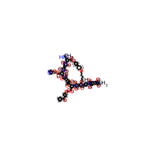 CCCCCCOC1CCC(c2ccc(OCC(=O)c3cc(NC)cc(N4C(=O)C5C(C4=O)C4C(=O)N(c6cc(C(=O)OCOc7ccncc7)cc(N7C(=O)C8CC(C7=O)C7C9CC(C(=O)C(c%10cc(C(=O)OCOc%11ccc(C(=O)c%12ccccc%12)cc%11)cc(N%11C(=O)C%12C%13C(=O)N(c%14ccc(N%15C(=O)C%16CC(C%15=O)C%15C%17CC(C(=O)N(C)C%17=O)C%16%15)cc%14)C(=O)C%13C%12C%11=O)c%10)C9=O)C87)c6)C(=O)C54)c3)cc2)CC1